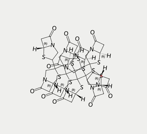 O=C1C[C@H]2SC(C3(C4(C5(C6(C7(C8(C9(C%10(C%11CN%12C(=O)C[C@H]%12S%11)CN%11C(=O)C[C@H]%11S%10)CN%10C(=O)C[C@H]%10S9)CN9C(=O)C[C@H]9S8)CN8C(=O)C[C@H]8S7)CN7C(=O)C[C@H]7S6)CN6C(=O)C[C@H]6S5)CN5C(=O)C[C@H]5S4)CN4C(=O)C[C@H]4S3)CN12